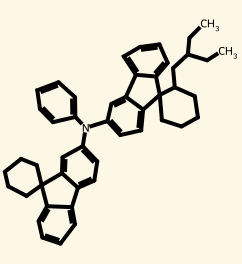 CCC(CC)CC1CCCCC12c1ccccc1-c1cc(N(c3ccccc3)c3ccc4c(c3)C3(CCCCC3)c3ccccc3-4)ccc12